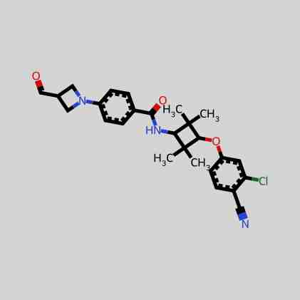 CC1(C)C(NC(=O)c2ccc(N3CC(C=O)C3)cc2)C(C)(C)C1Oc1ccc(C#N)c(Cl)c1